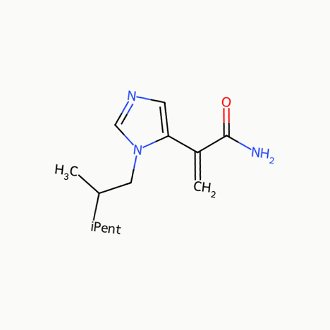 C=C(C(N)=O)c1cncn1CC(C)C(C)CCC